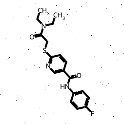 CCN(CC)C(=O)CSc1ccc(C(=O)Nc2ccc(F)cc2)cn1